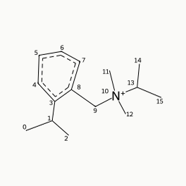 CC(C)c1ccccc1C[N+](C)(C)C(C)C